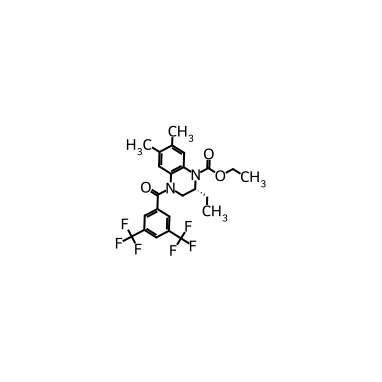 CCOC(=O)N1c2cc(C)c(C)cc2N(C(=O)c2cc(C(F)(F)F)cc(C(F)(F)F)c2)C[C@H]1CC